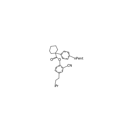 CCCCCc1ccc(C2(C(=O)Oc3ccc(CCC(C)C)cc3C#N)CCCCC2)cc1